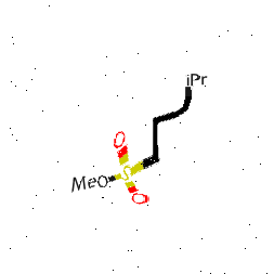 COS(=O)(=O)CCCC(C)C